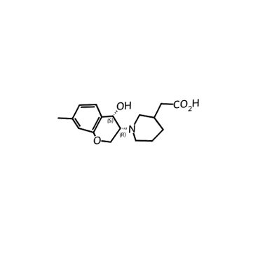 Cc1ccc2c(c1)OC[C@@H](N1CCCC(CC(=O)O)C1)[C@H]2O